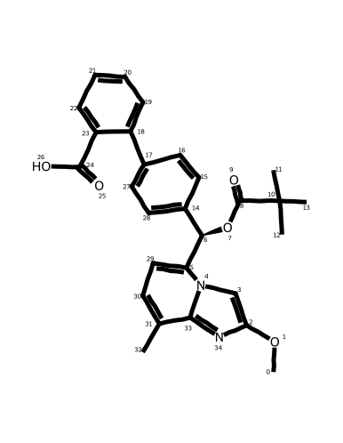 COc1cn2c([C@H](OC(=O)C(C)(C)C)c3ccc(-c4ccccc4C(=O)O)cc3)ccc(C)c2n1